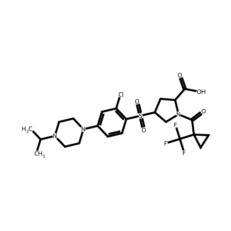 CC(C)N1CCN(c2ccc(S(=O)(=O)C3CC(C(=O)O)N(C(=O)C4(C(F)(F)F)CC4)C3)c(Cl)c2)CC1